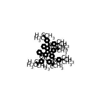 CC(C)(C)c1ccc(Oc2ccc(C3(c4ccc(C(C)(C)C)cc4)c4cc(N(c5ccc(C(C)(C)C)cc5)c5ccc(C(C)(C)C)cc5)c5ccccc5c4-c4c3cc(N(c3ccc(C(C)(C)C)cc3)c3ccc(C(C)(C)C)cc3)c3oc5ccccc5c43)cc2)cc1